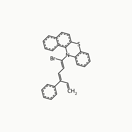 C=C/C(=C\C=C(/Br)N1c2ccccc2Sc2ccc3ccccc3c21)c1ccccc1